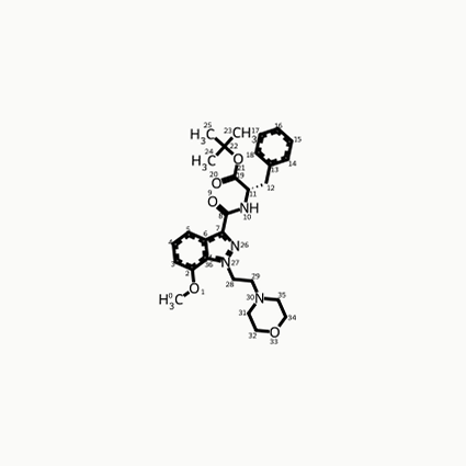 COc1cccc2c(C(=O)N[C@@H](Cc3ccccc3)C(=O)OC(C)(C)C)nn(CCN3CCOCC3)c12